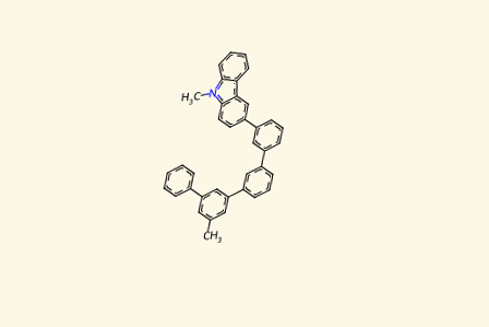 Cc1cc(-c2ccccc2)cc(-c2cccc(-c3cccc(-c4ccc5c(c4)c4ccccc4n5C)c3)c2)c1